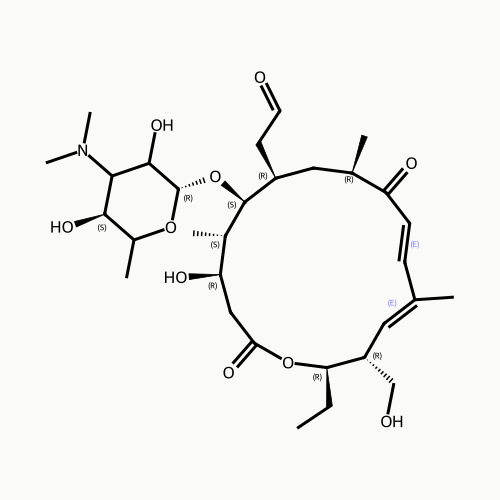 CC[C@H]1OC(=O)C[C@@H](O)[C@H](C)[C@@H](O[C@@H]2OC(C)[C@@H](O)C(N(C)C)C2O)[C@@H](CC=O)C[C@@H](C)C(=O)/C=C/C(C)=C/[C@@H]1CO